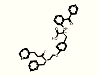 O=C(c1ccccc1)c1ccccc1N[C@@H](Cc1ccc(OCCN(Cc2ccccc2)C(=O)CCc2cccnc2)cc1)C(=O)O